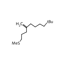 C=C(CCCCC(C)(C)C)CCCSC